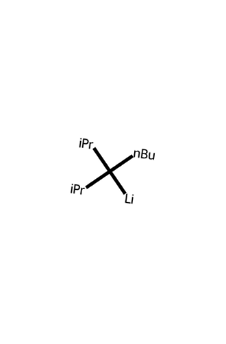 [Li][C](CCCC)(C(C)C)C(C)C